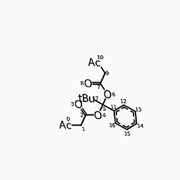 CC(=O)CC(=O)OC(OC(=O)CC(C)=O)(c1ccccc1)C(C)(C)C